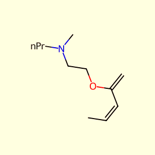 C=C(/C=C\C)OCCN(C)CCC